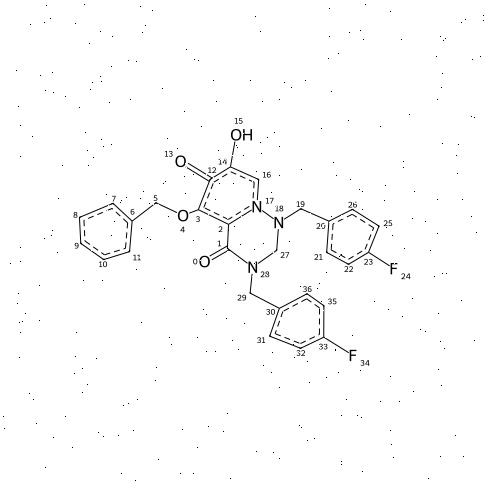 O=C1c2c(OCc3ccccc3)c(=O)c(O)cn2N(Cc2ccc(F)cc2)CN1Cc1ccc(F)cc1